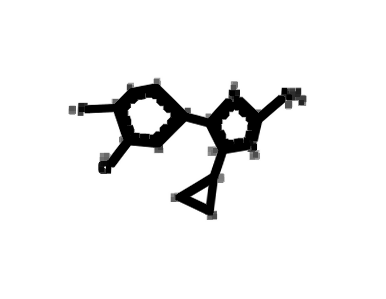 Nc1nc(-c2ccc(F)c(Cl)c2)c(C2CC2)s1